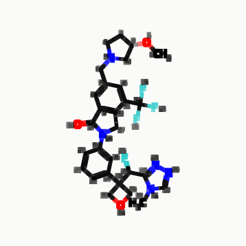 CO[C@H]1CCN(Cc2cc3c(c(C(F)(F)F)c2)CN(c2cccc(C4([C@@H](F)c5nncn5C)COC4)c2)C3=O)C1